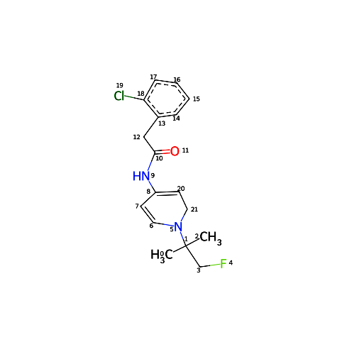 CC(C)(CF)N1C=CC(NC(=O)Cc2ccccc2Cl)=CC1